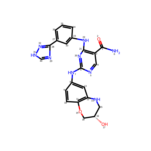 NC(=O)c1cnc(Nc2ccc3c(c2)NC[C@H](O)CO3)nc1Nc1cccc(-c2nc[nH]n2)c1